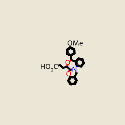 COc1ccc(C2OC(CCC(=O)O)C(=O)N(Cc3ccccc3)c3ccccc32)cc1